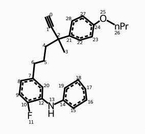 C#CC(C)(CCCc1ccc(F)c(Nc2ccccc2)c1)c1ccc(OCCC)cc1